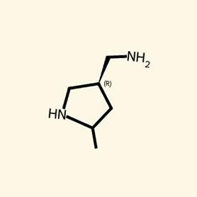 CC1C[C@H](CN)CN1